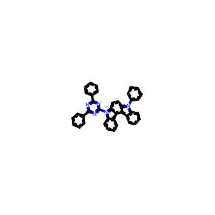 c1ccc(-c2nc(-c3ccccc3)nc(-n3c4ccccc4c4c5c6ccccc6n(-c6ccccc6)c5ccc43)n2)cc1